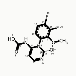 COc1c(N2C(NC(=O)O)=CC=N[C@H]2O)ccc(F)c1F